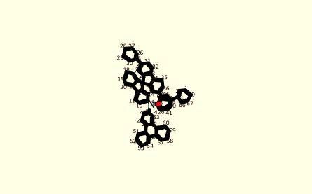 c1ccc(-c2ccc(N(c3ccc4c(c3)C3(c5ccccc5-4)c4cc(-c5ccccc5)ccc4-c4ccc(-c5ccccc5)cc43)c3ccc4c5ccccc5c5ccccc5c4c3)cc2)cc1